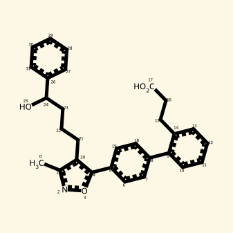 Cc1noc(-c2ccc(-c3ccccc3CCC(=O)O)cc2)c1CCCC(O)c1ccccc1